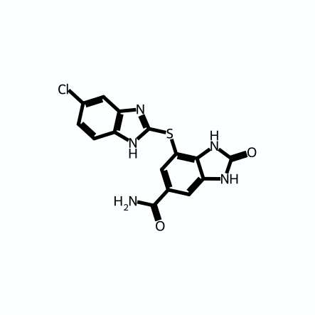 NC(=O)c1cc(Sc2nc3cc(Cl)ccc3[nH]2)c2[nH]c(=O)[nH]c2c1